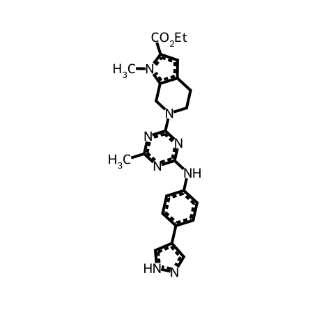 CCOC(=O)c1cc2c(n1C)CN(c1nc(C)nc(Nc3ccc(-c4cn[nH]c4)cc3)n1)CC2